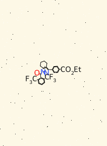 CCOC(=O)c1ccc(-c2nn(C(=O)c3c(C(F)(F)F)cccc3C(F)(F)F)c3c2CCCC3)cc1